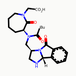 CCC(C)C(=O)N(C[C@@H]1CN[C@H]2c3ccccc3C(=O)N12)[C@H]1CCCCN(CC(=O)O)C1=O